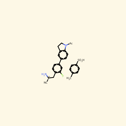 CC(=O)N1CCc2cc(-c3ccc(C[C@H](N)C#N)c(F)c3)ccc21.Cc1ccc(S(=O)(=O)O)cc1